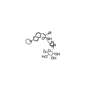 CO[C@H]1O[C@H](Cn2cc(CNC(=O)C(C#N)=Cc3ccc4cc(N5CCCCC5)ccc4c3)nn2)[C@@H](O)[C@H](O)[C@H]1O